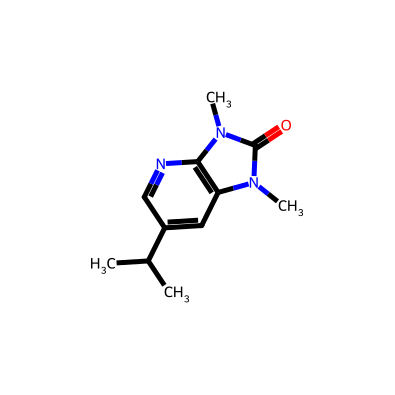 CC(C)c1cnc2c(c1)n(C)c(=O)n2C